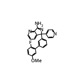 COc1ccc(F)c(-c2cccc(C3(c4ccncc4)N=C(N)c4ncccc43)c2)c1